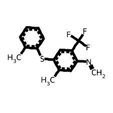 C=Nc1cc(C)c(Sc2ccccc2C)cc1C(F)(F)F